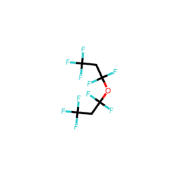 FC(F)(F)CC(F)(F)OC(F)(F)CC(F)(F)F